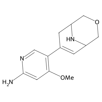 COc1cc(N)ncc1C1=CC2COCC(C1)N2